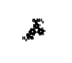 NC(=O)C1=NN(c2ccc(S(N)(=O)=O)cc2)C(c2ccccc2)C1